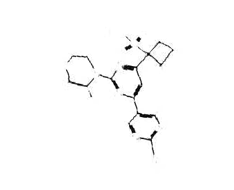 C[C@H]1COCCN1c1nc(-c2cnc(N)nc2)cc(C2(S(C)(=O)=O)CCC2)n1